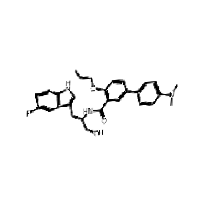 CCCOc1ccc(-c2ccc(N(C)C)cc2)cc1C(=O)NC(CO)Cc1c[nH]c2ccc(F)cc12